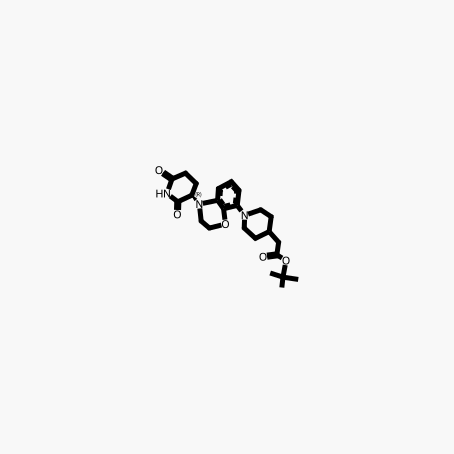 CC(C)(C)OC(=O)CC1CCN(c2cccc3c2OCCN3[C@@H]2CCC(=O)NC2=O)CC1